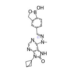 CN(/N=C/c1ccc2c(c1)COB2O)c1ncnc2c1[nH]c(=O)n2C12CC(C1)C2